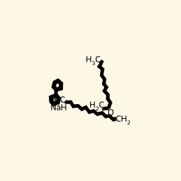 C=CC(CCCCCCCCCCCC)OC(C=C)CCCCCCCCCCCC.[NaH].c1ccc(-c2ccccc2)cc1